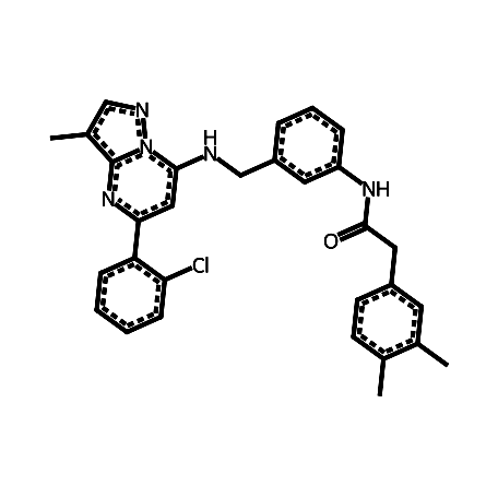 Cc1ccc(CC(=O)Nc2cccc(CNc3cc(-c4ccccc4Cl)nc4c(C)cnn34)c2)cc1C